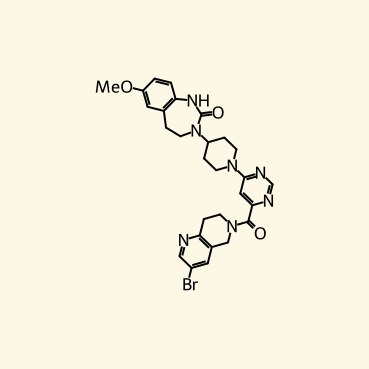 COc1ccc2c(c1)CCN(C1CCN(c3cc(C(=O)N4CCc5ncc(Br)cc5C4)ncn3)CC1)C(=O)N2